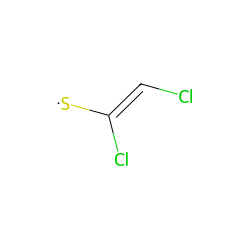 [S]C(Cl)=CCl